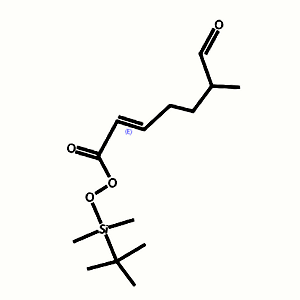 CC(C=O)CC/C=C/C(=O)OO[Si](C)(C)C(C)(C)C